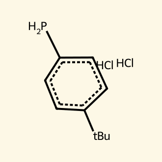 CC(C)(C)c1ccc(P)cc1.Cl.Cl